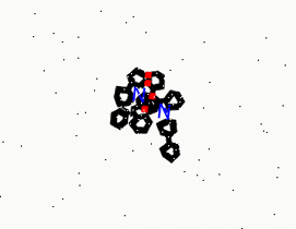 c1ccc(-c2ccc(-n3c4ccccc4c4c(-c5ccccc5)c(-n5c6ccccc6c6cccc([Si](c7ccccc7)(c7ccccc7)c7ccccc7)c65)ccc43)cc2)cc1